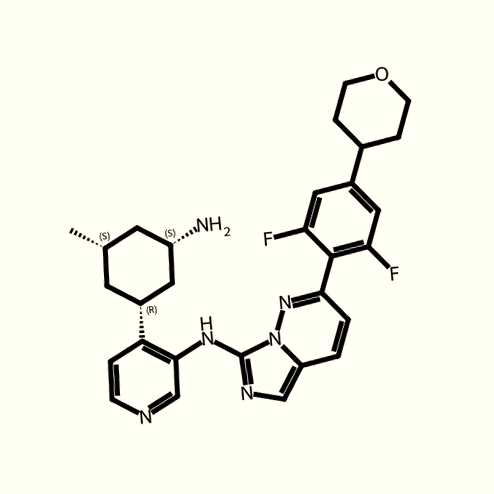 C[C@@H]1C[C@H](N)C[C@H](c2ccncc2Nc2ncc3ccc(-c4c(F)cc(C5CCOCC5)cc4F)nn23)C1